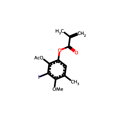 C=C(C)C(=O)Oc1cc(C)c(OC)c(I)c1OC(C)=O